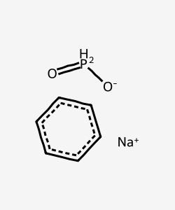 O=[PH2][O-].[Na+].c1ccccc1